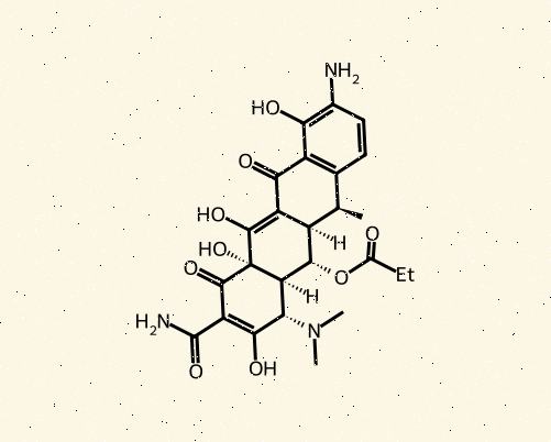 CCC(=O)O[C@H]1[C@H]2C(=C(O)[C@]3(O)C(=O)C(C(N)=O)=C(O)[C@@H](N(C)C)[C@H]13)C(=O)c1c(ccc(N)c1O)[C@H]2C